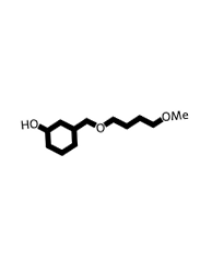 COCCCCOCC1CCCC(O)C1